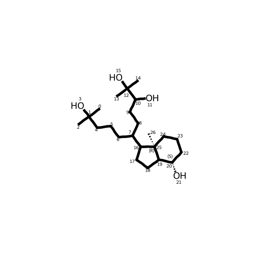 CC(C)(O)CCCC(CCC(O)C(C)(C)O)C1CCC2[C@@H](O)CCC[C@]12C